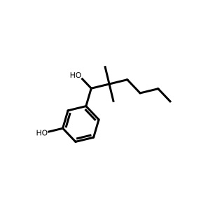 CCCCC(C)(C)C(O)c1cccc(O)c1